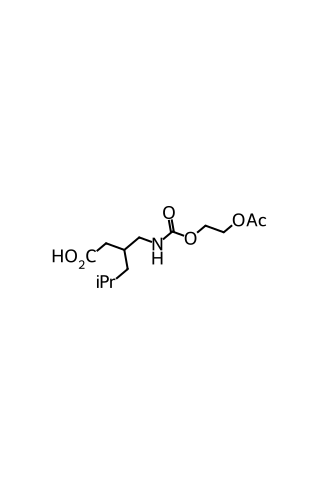 CC(=O)OCCOC(=O)NCC(CC(=O)O)CC(C)C